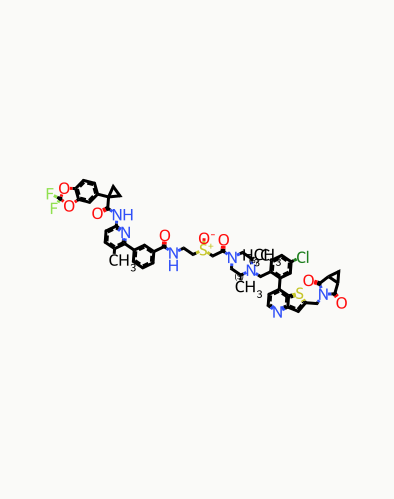 Cc1ccc(NC(=O)C2(c3ccc4c(c3)OC(F)(F)O4)CC2)nc1-c1cccc(C(=O)NCC[S+]([O-])CC(=O)N2C[C@H](C)N(Cc3c(C)cc(Cl)cc3-c3ccnc4cc(CN5C(=O)C6CC6C5=O)sc34)[C@@H](C)C2)c1